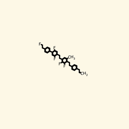 C=CCc1ccc(CCc2c(C)cc(CCc3cc(F)c(-c4ccc(CCF)cc4)cc3F)c(F)c2F)cc1